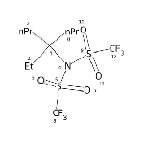 CCCC(CC)(CCC)N(S(=O)(=O)C(F)(F)F)S(=O)(=O)C(F)(F)F